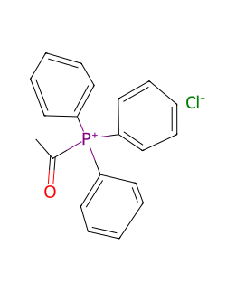 CC(=O)[P+](c1ccccc1)(c1ccccc1)c1ccccc1.[Cl-]